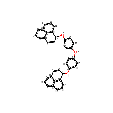 C1=CC(Oc2ccc(Oc3ccc(OC4C=Cc5cccc6cccc4c56)cc3)cc2)c2cccc3cccc1c23